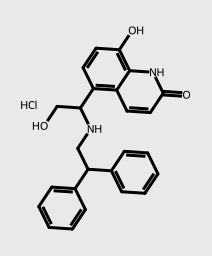 Cl.O=c1ccc2c(C(CO)NCC(c3ccccc3)c3ccccc3)ccc(O)c2[nH]1